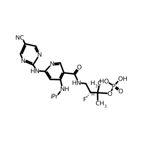 CC(C)Nc1cc(Nc2ncc(C#N)cn2)ncc1C(=O)NC[C@@H](F)C(C)(C)OP(=O)(O)O